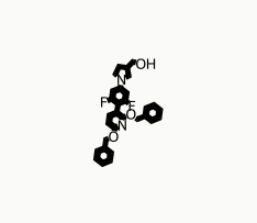 OCC1CCN(c2cc(F)c(-c3ccc(OCc4ccccc4)nc3OCc3ccccc3)c(F)c2)C1